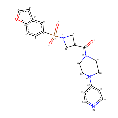 O=C(C1CN(S(=O)(=O)c2ccc3occc3c2)C1)N1CCN(c2ccncc2)CC1